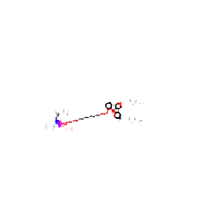 COc1ccc(C(OCCCCCCCCCCCCCCCCOP(O)N(C(C)C)C(C)(C)CCC#N)(c2ccccc2)c2ccc(OC)cc2)cc1